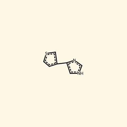 c1nc(-c2ccsc2)c[nH]1